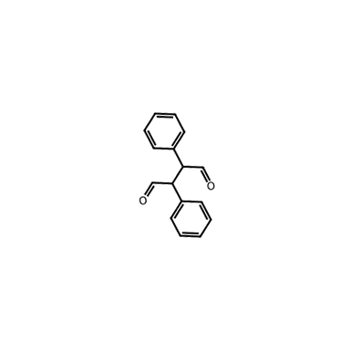 O=CC(c1ccccc1)C(C=O)c1ccccc1